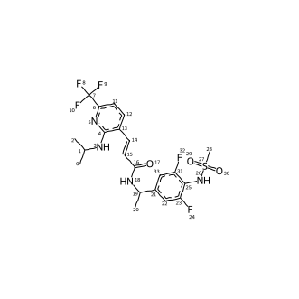 CC(C)Nc1nc(C(F)(F)F)ccc1C=CC(=O)NC(C)c1cc(F)c(NS(C)(=O)=O)c(F)c1